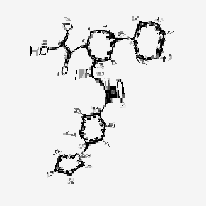 O=C(O)C(=O)c1ccc(-c2ccccc2)cc1NC(=O)c1ccc(-n2cccc2)cc1